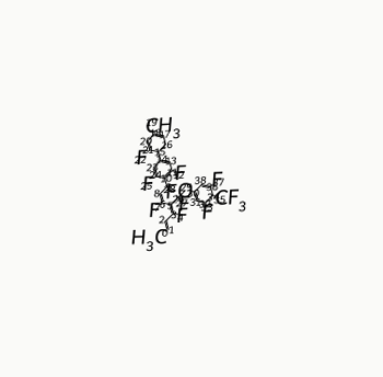 C/C=C/C(F)=C(\C(F)=C/Cc1c(F)cc(C2CC=C(C)C=C2F)cc1F)C(F)(F)OC1=CC(F)C(C(F)(F)F)C(F)=C1